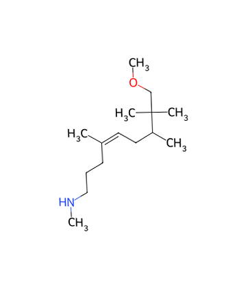 CNCCC/C(C)=C\CC(C)C(C)(C)COC